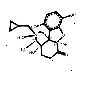 Cc1ccc(O)c2c1[C@]13CC[N+](C)(CC4CC4)[C@H](C)[C@]1(O)CCC(=O)[C@@H]3O2